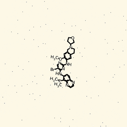 COc1cc2c(cc1Nc1ncc(Br)c(Nc3ccc4nccnc4c3P(C)C)n1)CCN(C1CCOC1)C2